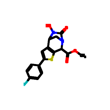 COC(=O)C1c2sc(-c3ccc(F)cc3)cc2C2CN1C(=O)N2O